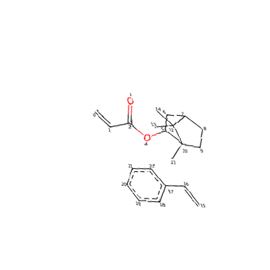 C=CC(=O)OC1CC2CCC1(C)C2(C)C.C=Cc1ccccc1